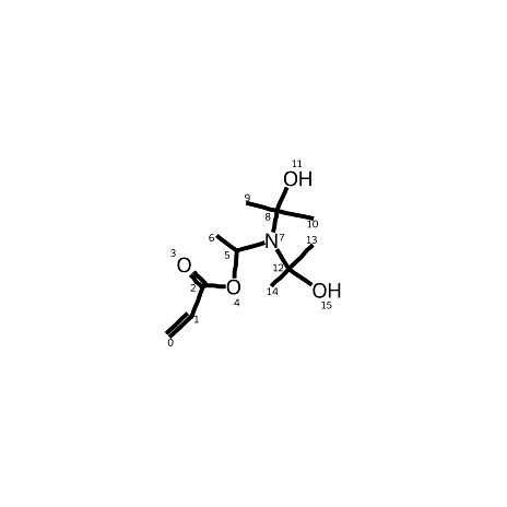 C=CC(=O)OC(C)N(C(C)(C)O)C(C)(C)O